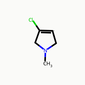 CN1C[C]=C(Cl)C1